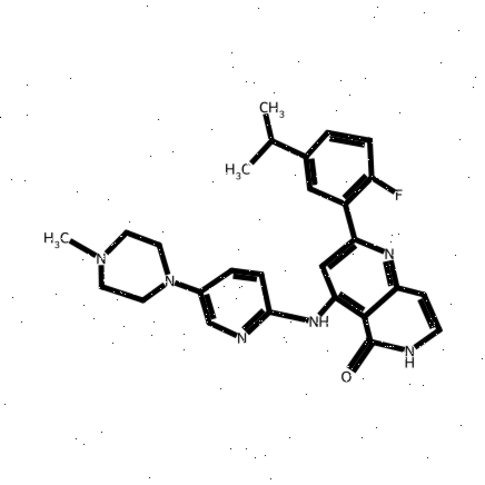 CC(C)c1ccc(F)c(-c2cc(Nc3ccc(N4CCN(C)CC4)cn3)c3c(=O)[nH]ccc3n2)c1